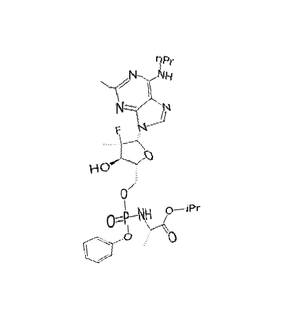 CCCNc1nc(C)nc2c1ncn2[C@@H]1O[C@H](COP(=O)(N[C@@H](C)C(=O)OC(C)C)Oc2ccccc2)[C@@H](O)[C@@]1(C)F